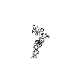 O=C1CCC(N2Cc3c(cc(F)cc3C3CCN(S(=O)(=O)c4ccc5ccccc5c4)CC3)C2=O)C(=O)N1